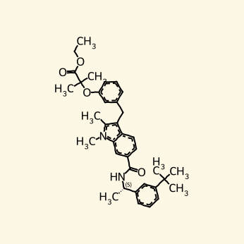 CCOC(=O)C(C)(C)Oc1cccc(Cc2c(C)n(C)c3cc(C(=O)N[C@@H](C)c4cccc(C(C)(C)C)c4)ccc23)c1